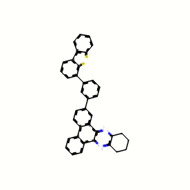 c1cc(-c2ccc3c4ccccc4c4nc5c(nc4c3c2)CCCC5)cc(-c2cccc3c2sc2ccccc23)c1